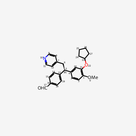 COc1ccc([C@H](Cc2ccncc2)c2ccc(C=O)cc2)cc1OC1CCCC1